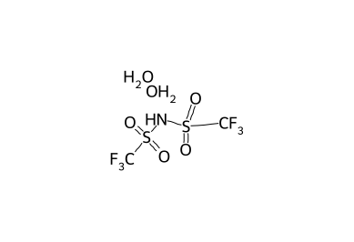 O.O.O=S(=O)(NS(=O)(=O)C(F)(F)F)C(F)(F)F